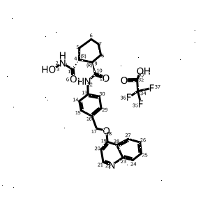 O=C(NO)[C@@H]1CCCC[C@H]1C(=O)Nc1ccc(COc2ccnc3ccccc23)cc1.O=C(O)C(F)(F)F